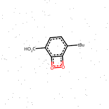 CC(C)(C)c1ccc(C(=O)O)c2ooc12